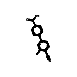 Cc1cc(-c2ccc(C(=O)O)cc2)ccc1C#N